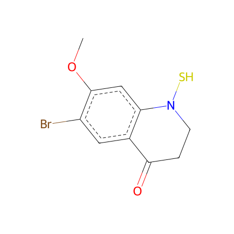 COc1cc2c(cc1Br)C(=O)CCN2S